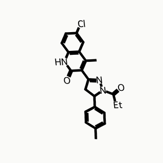 CCC(=O)N1N=C(c2c(C)c3cc(Cl)ccc3[nH]c2=O)CC1c1ccc(C)cc1